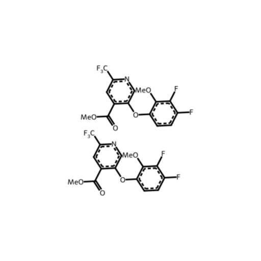 COC(=O)c1cc(C(F)(F)F)ncc1Oc1ccc(F)c(F)c1OC.COC(=O)c1cc(C(F)(F)F)ncc1Oc1ccc(F)c(F)c1OC